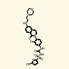 O=C(Nc1ccc(-n2ccc3cc(NCCN4CCOCC4)ccc3c2=O)c(F)c1)NS(=O)(=O)c1ccc(Cl)s1